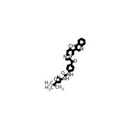 Cc1cc2ncc(C(=O)c3ccc(NC(=O)Nc4cc(C(C)(C)C)on4)cc3)n2cc1-c1cnc2ccccc2c1